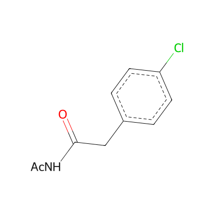 CC(=O)NC(=O)Cc1ccc(Cl)cc1